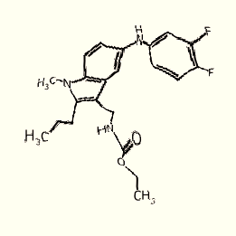 CCCc1c(CNC(=O)OCC)c2cc(Nc3ccc(F)c(F)c3)ccc2n1C